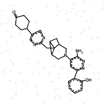 Nc1nnc(-c2ccccc2O)cc1N1CC2CC3C(C1)C23Cc1ncc(C2CCC(=O)CC2)cn1